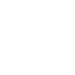 CC(C)[S+]([O-])COC(C)(C)C